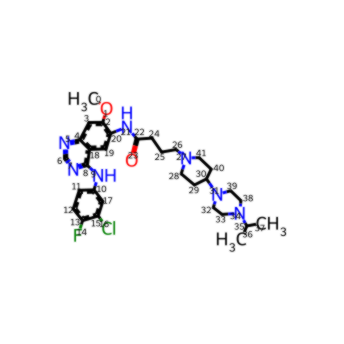 COc1cc2ncnc(Nc3ccc(F)c(Cl)c3)c2cc1NC(=O)CCCN1CCC(N2CCN(C(C)C)CC2)CC1